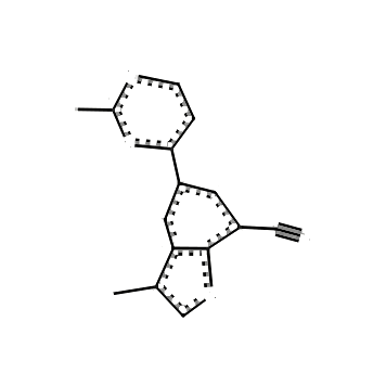 Cc1c[nH]c2c(C#N)cc(-c3ccnc(Cl)n3)cc12